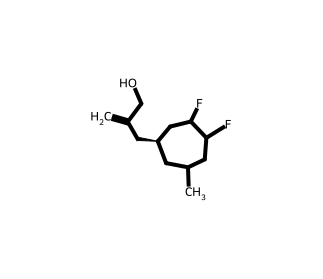 C=C(CO)C[C@@H]1CC(C)CC(F)C(F)C1